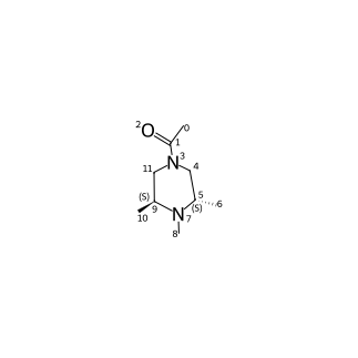 CC(=O)N1C[C@H](C)N(C)[C@@H](C)C1